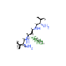 CC(C)[C@H](N)CNCCCNC[C@@H](N)C(C)C.Cl.Cl.Cl.Cl